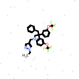 CCn1cc(CNCC(Cc2ccccc2)(c2cccc(OC(F)(F)F)c2)c2cccc(OC(F)(F)F)c2)cn1